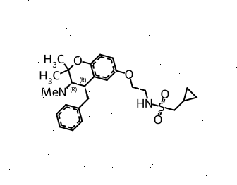 CN[C@@H]1[C@H](Cc2ccccc2)c2cc(OCCNS(=O)(=O)CC3CC3)ccc2OC1(C)C